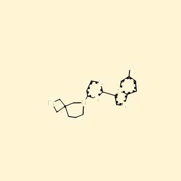 Clc1ccc2ncc(-c3nccc(N4CCCC5(CNC5)C4)n3)n2c1